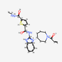 C=CC(=O)N1CCC[C@@H](n2c(NC(=O)c3ccc(C(=O)NCC)s3)nc3ccccc32)CC1